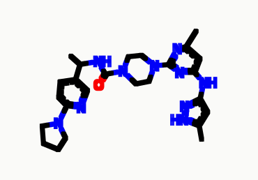 Cc1cc(Nc2cc(C)[nH]n2)nc(N2CCN(C(=O)NC(C)c3ccc(N4CCCC4)nc3)CC2)n1